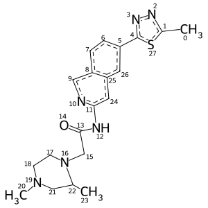 Cc1nnc(-c2ccc3cnc(NC(=O)CN4CCN(C)CC4C)cc3c2)s1